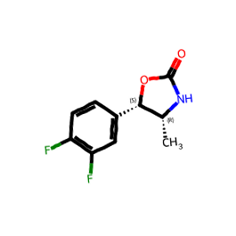 C[C@H]1NC(=O)O[C@H]1c1ccc(F)c(F)c1